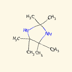 CC1(C)NC(C)(C)C(C)(C)N1